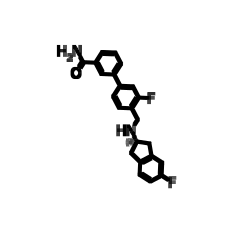 NC(=O)c1cccc(-c2ccc(CN[C@@H]3Cc4ccc(F)cc4C3)c(F)c2)c1